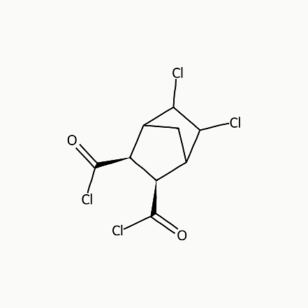 O=C(Cl)[C@@H]1C2CC(C(Cl)C2Cl)[C@@H]1C(=O)Cl